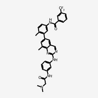 Cc1ccc(NC(=O)c2cccc(C(F)(F)F)c2)cc1-c1cc(C)c2nc(Nc3cccc(NC(=O)CN(C)C)c3)ncc2c1